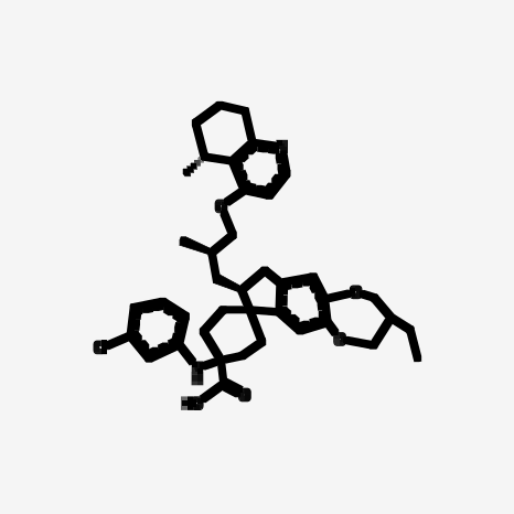 CCC1COc2cc3c(cc2OC1)C1(CCC(Nc2cccc(Cl)c2)(C(=O)O)CC1)[C@@H](C[C@@H](C)COc1ccnc2c1[C@H](C)CCC2)C3